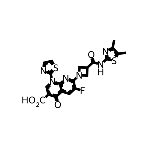 Cc1nc(NC(=O)C2CN(c3nc4c(cc3F)c(=O)c(C(=O)O)cn4-c3nccs3)C2)sc1C